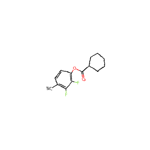 N#Cc1ccc(OC(=O)C2CCCCC2)c(F)c1F